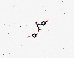 COc1cc(C(=O)NCC(O)(c2cc3c(c(-c4ccc(C(=O)O)cc4)n2)OCC3(C)N)C(F)(F)F)ccc1OCCO